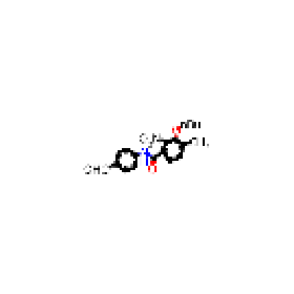 CCCCOc1c(C)ccc(C(=O)Nc2ccc(C=O)cc2)c1[N+](=O)[O-]